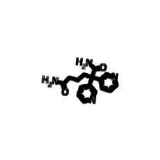 NC(=O)CCCC(C(N)=O)(c1cccnc1)c1cccnc1